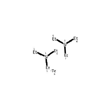 CC[Si](CC)CC.CC[Si](CC)CC.[Te]